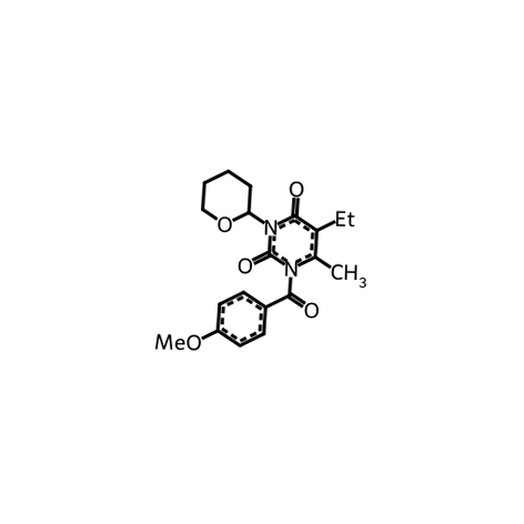 CCc1c(C)n(C(=O)c2ccc(OC)cc2)c(=O)n(C2CCCCO2)c1=O